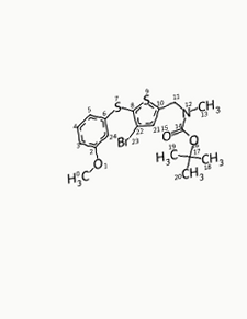 COc1cccc(Sc2sc(CN(C)C(=O)OC(C)(C)C)cc2Br)c1